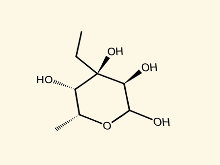 CC[C@]1(O)[C@@H](O)C(O)O[C@H](C)[C@@H]1O